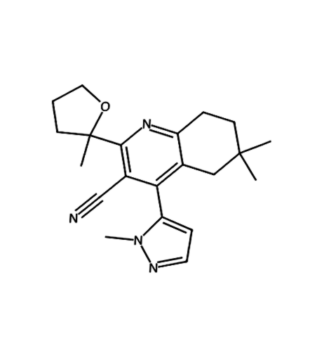 Cn1nccc1-c1c(C#N)c(C2(C)CCCO2)nc2c1CC(C)(C)CC2